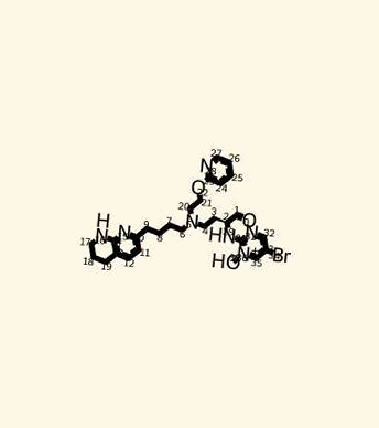 O=C[C@H](CCN(CCCCc1ccc2c(n1)NCCC2)CCOc1ccccn1)Nc1ncc(Br)c[n+]1O